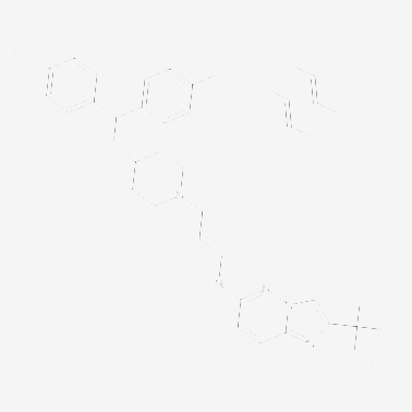 Cc1ccc(C(OC2CCN(CCCNc3ccc4nc(C(C)(C)C(=O)O)cn4n3)CC2)c2ccc(C)cc2)cc1.O=C(O)/C=C/C(=O)O.O=C(O)/C=C/C(=O)O